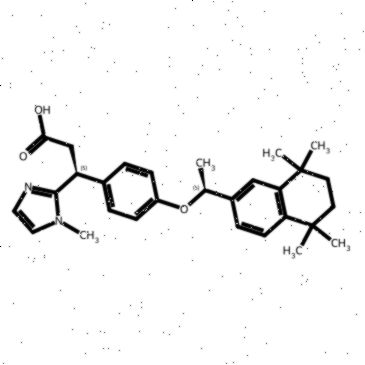 C[C@H](Oc1ccc([C@H](CC(=O)O)c2nccn2C)cc1)c1ccc2c(c1)C(C)(C)CCC2(C)C